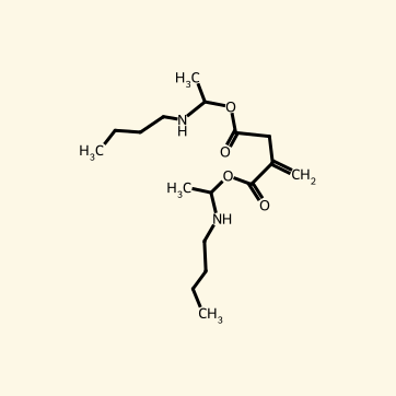 C=C(CC(=O)OC(C)NCCCC)C(=O)OC(C)NCCCC